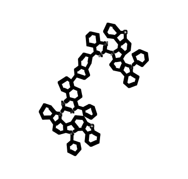 c1ccc(-c2nc(-n3c4ccccc4c4ccc5c(c6ccc7oc8ccccc8c7c6n5-c5ccccc5)c43)nc3c2ccc2c(-c4ccc5cc(-c6nc(-n7c8ccc9c%10ccccc%10n(-c%10ccccc%10)c9c8c8ccc9oc%10ccccc%10c9c87)nc7ccccc67)ccc5c4)cccc23)cc1